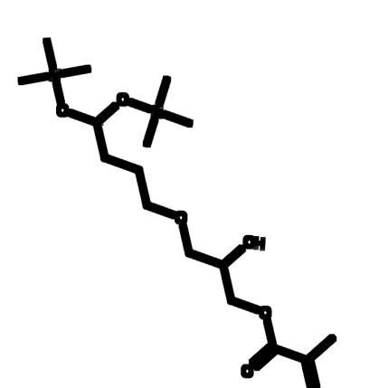 C=C(C)C(=O)OCC(O)COCCC[C](O[Si](C)(C)C)O[Si](C)(C)C